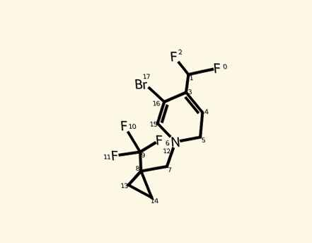 FC(F)C1=CCN(CC2(C(F)(F)F)CC2)C=C1Br